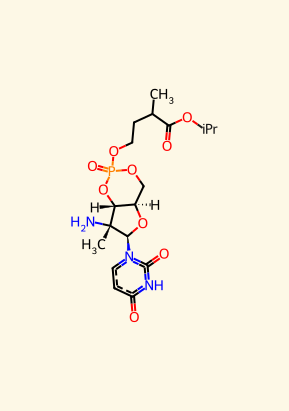 CC(C)OC(=O)C(C)CCOP1(=O)OC[C@H]2O[C@@H](n3ccc(=O)[nH]c3=O)[C@](C)(N)[C@@H]2O1